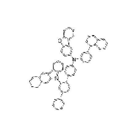 C1=Cc2cc3c4ccccc4n(-c4cc(-c5ccccc5)ccc4-c4ccc(N(c5cccc(-c6cccc7ccccc67)c5)c5ccc6oc7ccccc7c6c5)cc4)c3cc2CC1